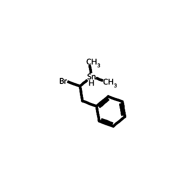 [CH3][SnH]([CH3])[CH](Br)Cc1ccccc1